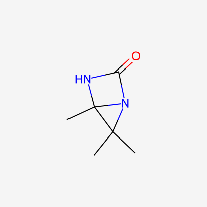 CC1(C)N2C(=O)NC21C